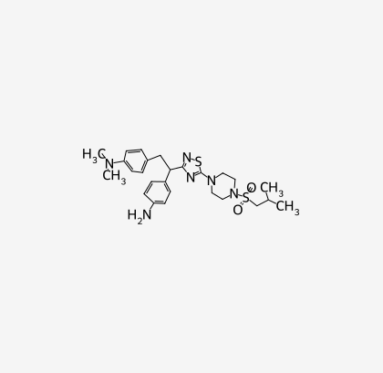 CC(C)CS(=O)(=O)N1CCN(c2nc(C(Cc3ccc(N(C)C)cc3)c3ccc(N)cc3)ns2)CC1